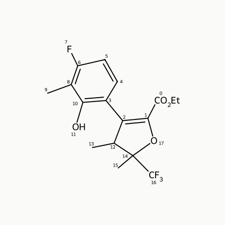 CCOC(=O)C1=C(c2ccc(F)c(C)c2O)C(C)C(C)(C(F)(F)F)O1